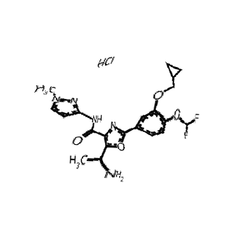 CC(N)c1oc(-c2ccc(OC(F)F)c(OCC3CC3)c2)nc1C(=O)Nc1ccn(C)n1.Cl